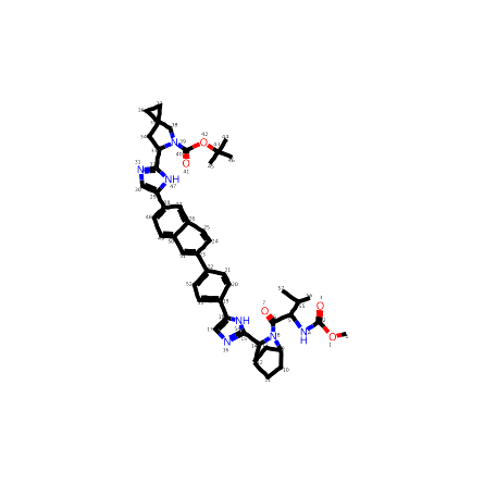 COC(=O)NC(C(=O)N1C2CCC(C2)C1c1ncc(-c2ccc(-c3ccc4cc(-c5cnc(C6CC7(CC7)CN6C(=O)OC(C)(C)C)[nH]5)ccc4c3)cc2)[nH]1)C(C)C